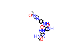 CCC(=O)N1CCN(c2ccc(NC(=O)c3c(Nc4cnc5c(c4C)NCC(C)O5)cc[nH]c3=O)cc2)CC1